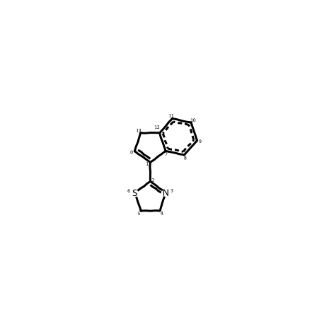 C1=C(C2=NCCS2)c2ccccc2C1